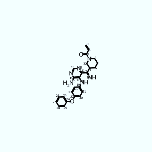 C=CC(=O)N1CCCC(C(=N)c2ncnc(N)c2Nc2ccc(Oc3ccccc3)cc2)C1